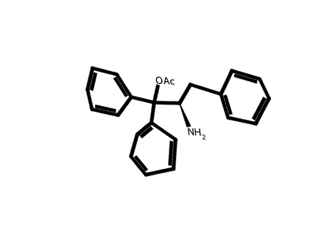 CC(=O)OC(c1ccccc1)(c1ccccc1)[C@H](N)Cc1ccccc1